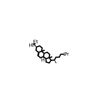 CCN[C@H]1CCC2(C)C(=CC[C@H]3C2CCC2(C)C3CCC2[C@H](C)CCCC(C)C)C1